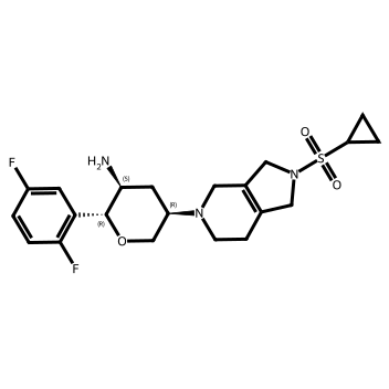 N[C@H]1C[C@@H](N2CCC3=C(C2)CN(S(=O)(=O)C2CC2)C3)CO[C@@H]1c1cc(F)ccc1F